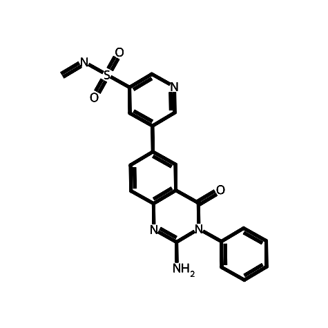 C=NS(=O)(=O)c1cncc(-c2ccc3nc(N)n(-c4ccccc4)c(=O)c3c2)c1